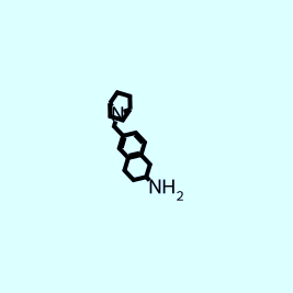 NC1CCc2cc(CN3C4CCC3CC4)ccc2C1